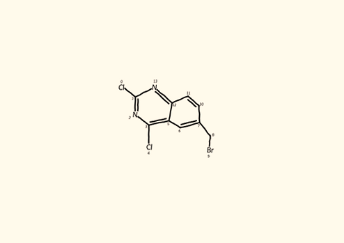 Clc1nc(Cl)c2cc(CBr)ccc2n1